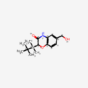 CC(C)(C)[Si](C)(C)C1Oc2ccc(CO)cc2NC1=O